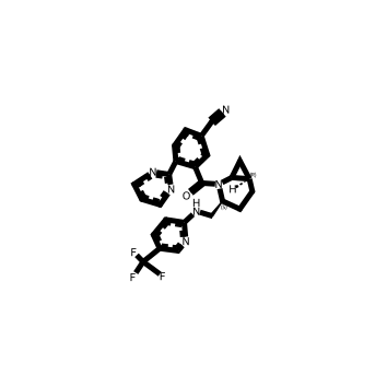 N#Cc1ccc(-c2ncccn2)c(C(=O)N2C3C[C@H]3CC[C@H]2CNc2ccc(C(F)(F)F)cn2)c1